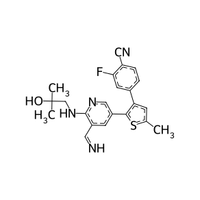 Cc1cc(-c2ccc(C#N)c(F)c2)c(-c2cnc(NCC(C)(C)O)c(C=N)c2)s1